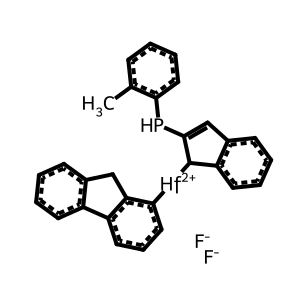 Cc1ccccc1PC1=Cc2ccccc2[CH]1[Hf+2][c]1cccc2c1Cc1ccccc1-2.[F-].[F-]